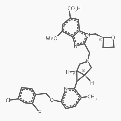 COc1cc(C(=O)O)cc2c1nc(CN1C[C@@H]3C(c4nc(OCc5ccc(Cl)cc5F)ccc4C)[C@@H]3C1)n2C[C@@H]1CCO1